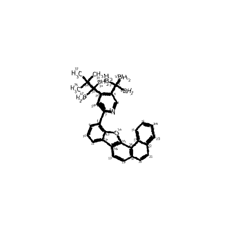 BC(B)(B)c1cnc(-c2cccc3c2oc2c3ccc3ccc4ccccc4c32)cc1C(B)(B)C(C)(C)C